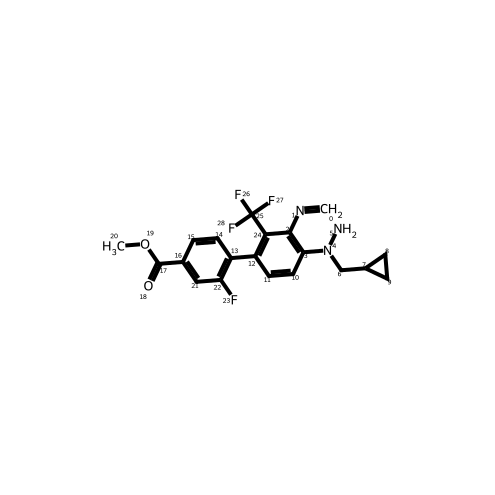 C=Nc1c(N(N)CC2CC2)ccc(-c2ccc(C(=O)OC)cc2F)c1C(F)(F)F